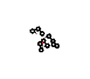 c1cc(-c2ccc3c(ccc4ccccc43)c2)cc(N(c2ccc(-c3cccc4c3oc3ccccc34)cc2)c2cccc(-c3ccccc3-n3c4ccccc4c4ccccc43)c2)c1